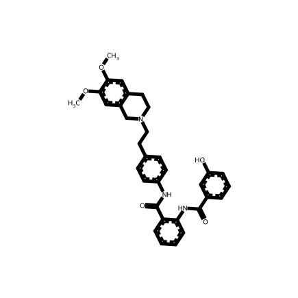 COc1cc2c(cc1OC)CN(CCc1ccc(NC(=O)c3ccccc3NC(=O)c3cccc(O)c3)cc1)CC2